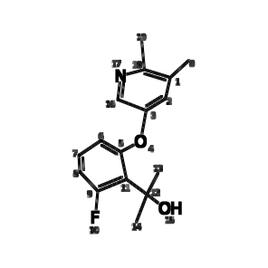 Cc1cc(Oc2cccc(F)c2C(C)(C)O)cnc1C